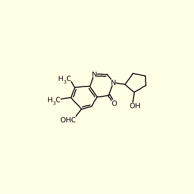 Cc1c(C=O)cc2c(=O)n(C3CCCC3O)cnc2c1C